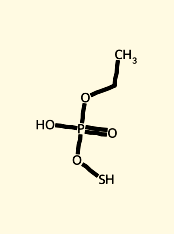 CCOP(=O)(O)OS